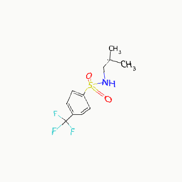 C[C](C)CNS(=O)(=O)c1ccc(C(F)(F)F)cc1